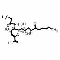 CCCCCC(=O)NC[C@@H](O)[C@@H](O)[C@@H]1OC(C(=O)O)=C[C@H](O)[C@H]1NC(=O)CC